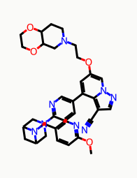 COc1ccc(CN2C3CC2CN(c2ccc(-c4cc(OCCN5CCC6OCCOC6C5)cn5ncc(C#N)c45)cn2)C3)cn1